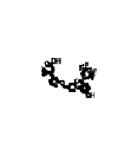 O=C(O)CC(c1ccnc(OCC2CCN(c3cc(O)ccc3C(=O)N3CC(F)(F)OC(F)(F)C3)CC2)c1)C1CC1